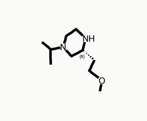 COCC[C@@H]1CN(C(C)C)CCN1